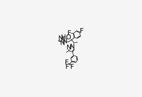 Cc1nn([C@H](C)[C@](O)(Cn2cncn2)c2ccc(F)cc2F)cc1-c1cccc(C(F)(F)F)c1